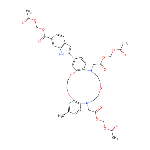 CC(=O)OCOC(=O)CN1CCOCCN(CC(=O)OCOC(C)=O)c2ccc(-c3cc4ccc(C(=O)OCOC(C)=O)cc4[nH]3)cc2OCCOc2cc(C)ccc21